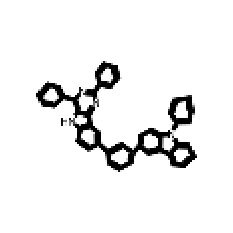 c1ccc(-c2nc(-c3ccccc3)c3[nH]c4ccc(-c5cccc(-c6ccc7c(c6)c6ccccc6n7-c6ccccc6)c5)cc4c3n2)cc1